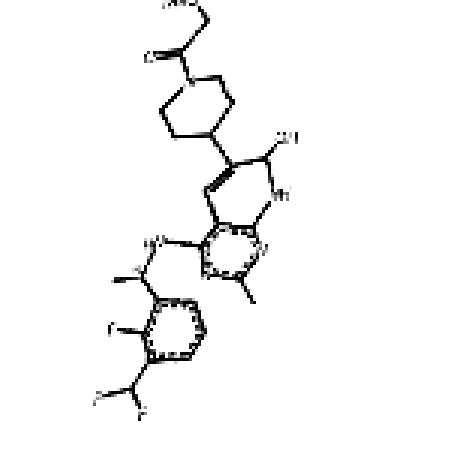 COCC(=O)N1CCC(C2=Cc3c(nc(C)nc3N[C@H](C)c3cccc(C(F)F)c3F)NC2O)CC1